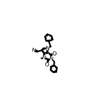 Cn1c(=O)n(Cc2ccccc2)c(=O)c2c1c(C#N)cn2Cc1ccccc1